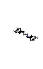 C(=N\N=C\c1c[nH]cn1)/c1c[nH]cn1